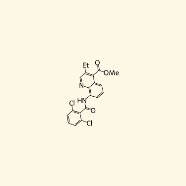 CCc1cnc2c(NC(=O)c3c(Cl)cccc3Cl)cccc2c1C(=O)OC